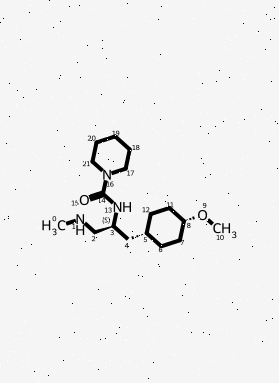 CNC[C@H](C[C@H]1CC[C@@H](OC)CC1)NC(=O)N1CCCCC1